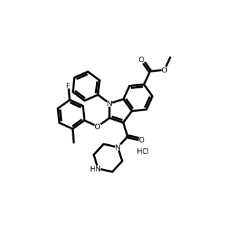 COC(=O)c1ccc2c(C(=O)N3CCNCC3)c(Oc3cc(F)ccc3C)n(-c3ccccc3)c2c1.Cl